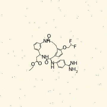 CCOC(=O)CC1NC(=O)[C@H](Nc2ccc(C(=N)N)cc2)c2ccc(OCC(F)F)c(c2)CCC(=O)Nc2cccc1c2